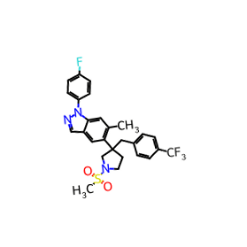 Cc1cc2c(cnn2-c2ccc(F)cc2)cc1C1(Cc2ccc(C(F)(F)F)cc2)CCN(S(C)(=O)=O)C1